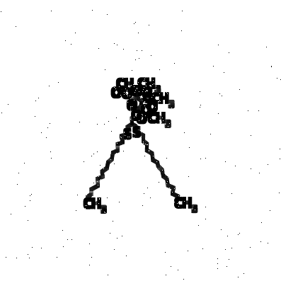 CCCCCCCCCCCCCCCCSCC(CO[C@@H]1O[C@H](COC(C)=O)[C@H](OC(C)=O)[C@H](OC(C)=O)[C@H]1OC(C)=O)CSCCCCCCCCCCCCCCCC